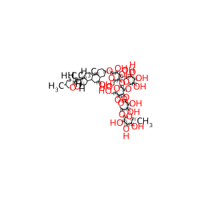 CC[C@H]1O[C@@H](O[C@@H]2CO[C@@H](O[C@H]3[C@H](O)[C@@H](CO)O[C@@H](O[C@@H]4[C@H](O)[C@@H](O)[C@H](O[C@H]5CC[C@]6(C)C7CC[C@@]8(C)C(C[C@@H]9O[C@]%10(CCC(C)CO%10)[C@@H](C)[C@@H]98)C7C[C@@H](O)C6C5)O[C@@H]4CO)[C@@H]3O[C@@H]3O[C@H](CO)[C@@H](O)[C@H](O)[C@H]3O)[C@H](O)[C@H]2O)[C@H](O)[C@@H](O)[C@@H]1O